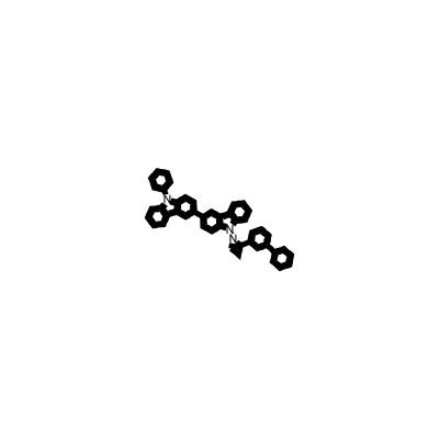 c1ccc(-c2cccc(C34CC3N4n3c4ccccc4c4cc(-c5ccc6c(c5)c5ccccc5n6-c5ccccc5)ccc43)c2)cc1